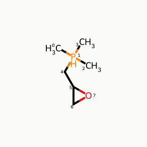 C[PH](C)(C)CC1CO1